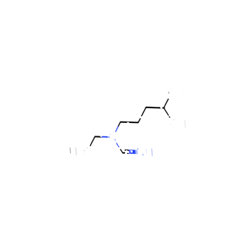 CCN(C=N)CCCC(C)C